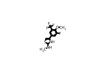 CNC1NC(c2cc(F)c(OC)c(C(F)(F)F)c2)=CS1